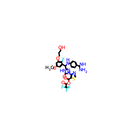 COc1cc(OCCCO)c(F)c(C(Nc2ccc(C(=N)N)cc2)c2nn(-c3ncsc3C(=O)OC(=O)C(F)(F)F)c(=O)[nH]2)c1